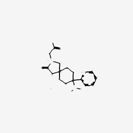 CN(C)C1(c2ccccn2)CCC2(CC1)CC(=O)N(CC(=O)O)C2.Cl